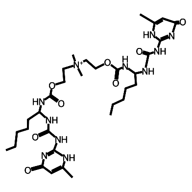 CCCCCC(NC(=O)Nc1nc(=O)cc(C)[nH]1)NC(=O)OCC[N+](C)(C)CCOC(=O)NC(CCCCC)NC(=O)Nc1nc(=O)cc(C)[nH]1